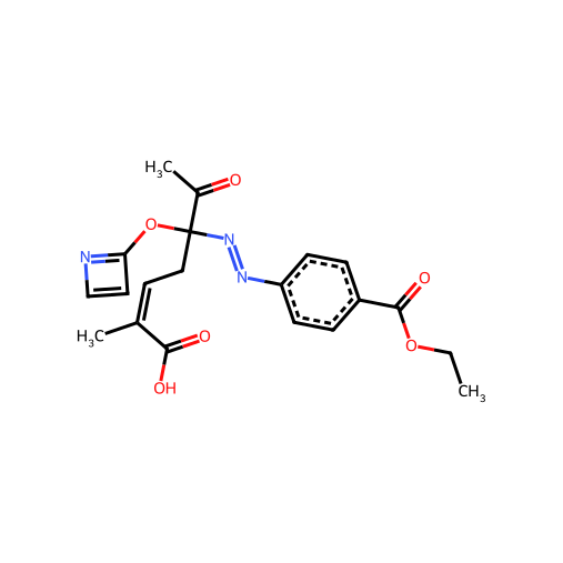 CCOC(=O)c1ccc(N=NC(CC=C(C)C(=O)O)(OC2=NC=C2)C(C)=O)cc1